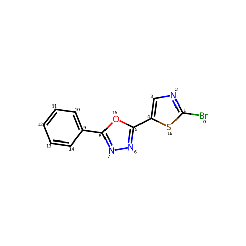 Brc1ncc(-c2nnc(-c3ccccc3)o2)s1